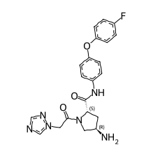 N[C@@H]1C[C@@H](C(=O)Nc2ccc(Oc3ccc(F)cc3)cc2)N(C(=O)Cn2cncn2)C1